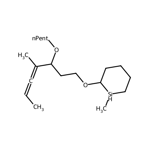 CC=C=C(C)C(CCOC1CCCC[SiH]1C)OCCCCC